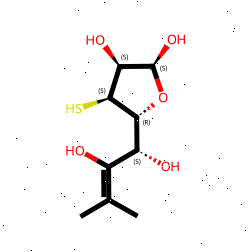 CC(C)=C(O)[C@@H](O)[C@H]1O[C@H](O)[C@H](O)[C@@H]1S